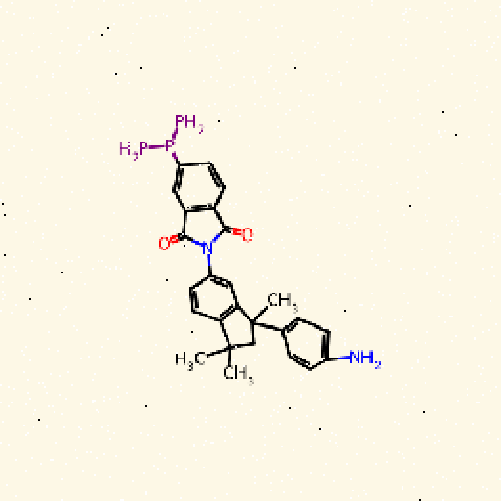 CC1(C)CC(C)(c2ccc(N)cc2)c2cc(N3C(=O)c4ccc(P(P)P)cc4C3=O)ccc21